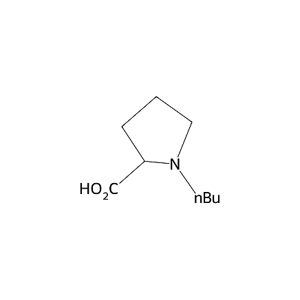 CCCCN1CCCC1C(=O)O